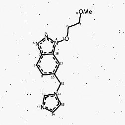 COCCOn1nnc2ccc(Cn3ccnc3)cc21